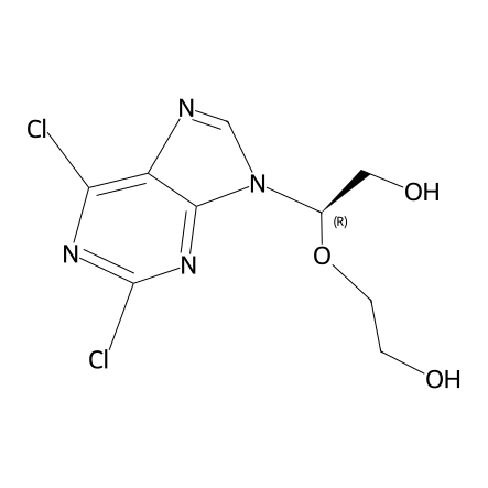 OCCO[C@H](CO)n1cnc2c(Cl)nc(Cl)nc21